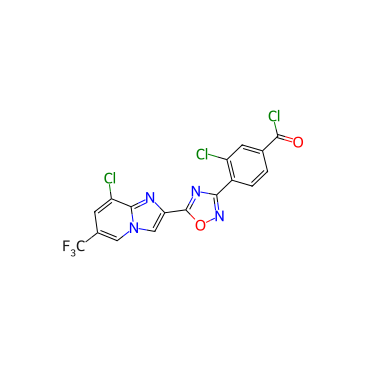 O=C(Cl)c1ccc(-c2noc(-c3cn4cc(C(F)(F)F)cc(Cl)c4n3)n2)c(Cl)c1